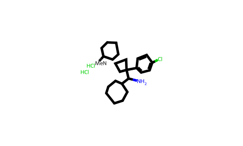 CNC1CCCCC1.Cl.Cl.NC(C1CCCCCC1)C1(c2ccc(Cl)cc2)CCC1